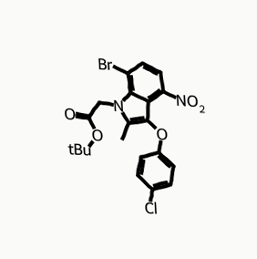 Cc1c(Oc2ccc(Cl)cc2)c2c([N+](=O)[O-])ccc(Br)c2n1CC(=O)OC(C)(C)C